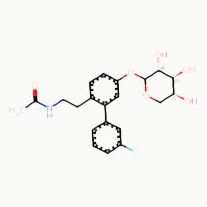 CC(=O)NCCc1ccc(OC2OC[C@H](O)[C@H](O)[C@H]2O)cc1-c1cccc(F)c1